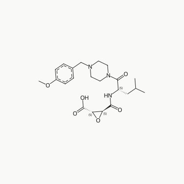 COc1ccc(CN2CCN(C(=O)[C@H](CC(C)C)NC(=O)[C@H]3O[C@@H]3C(=O)O)CC2)cc1